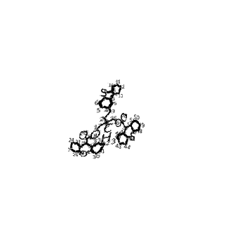 CC(CCc1ccc2sc3ccccc3c2c1)(COC(=O)C1c2ccccc2Oc2ccccc21)COC(=O)C1c2ccccc2Sc2ccccc21